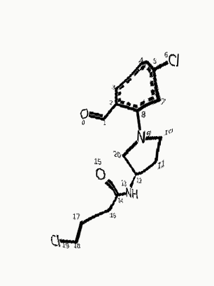 O=Cc1ccc(Cl)cc1N1CC[C@@H](NC(=O)CCCCl)C1